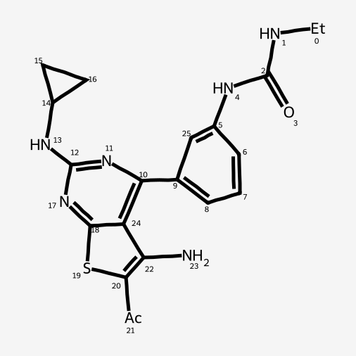 CCNC(=O)Nc1cccc(-c2nc(NC3CC3)nc3sc(C(C)=O)c(N)c23)c1